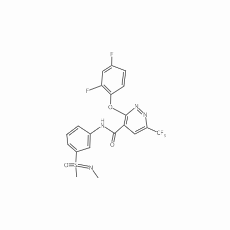 CN=S(C)(=O)c1cccc(NC(=O)c2cc(C(F)(F)F)nnc2Oc2ccc(F)cc2F)c1